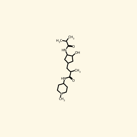 CC(C)C(=O)NC1CC(CC(C)C(=O)NC2CCN(C)CC2)CC1O